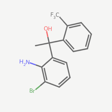 CC(O)(c1ccccc1C(F)(F)F)c1cccc(Br)c1N